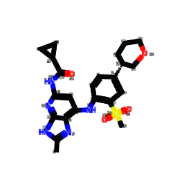 Cc1nc2c(Nc3ccc([C@@H]4CCCOC4)cc3S(C)(=O)=O)cc(NC(=O)C3CC3)nc2[nH]1